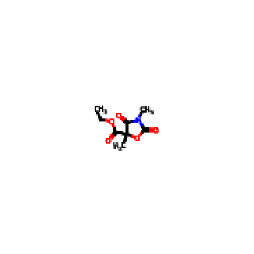 CCOC(=O)C1(C)OC(=O)N(C)C1=O